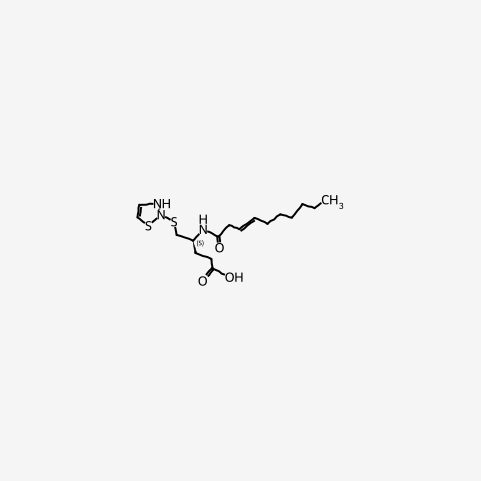 CCCCCCC=CCC(=O)N[C@@H](CCC(=O)O)CSN1NC=CS1